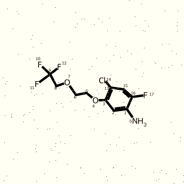 Nc1cc(OCCOCC(F)(F)F)c(Cl)cc1F